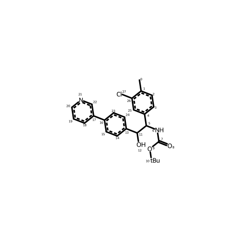 Cc1ccc(C(NC(=O)OC(C)(C)C)C(O)c2ccc(-c3cccnc3)cc2)cc1Cl